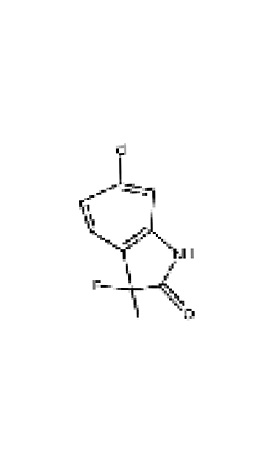 CC1(F)C(=O)Nc2cc(Cl)ccc21